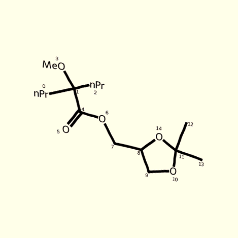 CCCC(CCC)(OC)C(=O)OCC1COC(C)(C)O1